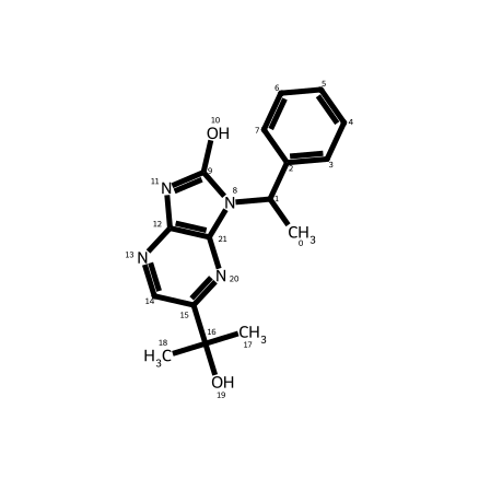 CC(c1ccccc1)n1c(O)nc2ncc(C(C)(C)O)nc21